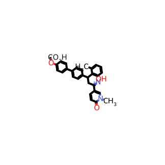 Cc1ccccc1C(C/C(=N\O)c1ccc(=O)n(C)c1)c1ccc(-c2ccc(OC(=O)O)cc2)cc1